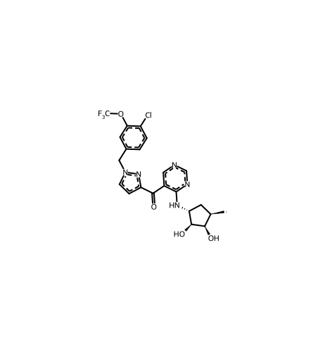 [CH2][C@@H]1C[C@@H](Nc2ncncc2C(=O)c2ccn(Cc3ccc(Cl)c(OC(F)(F)F)c3)n2)[C@H](O)[C@@H]1O